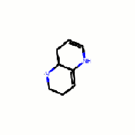 C1=CNC2=CCC[N]C2C1